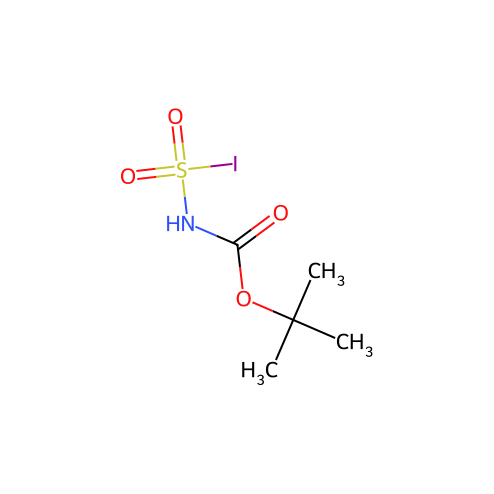 CC(C)(C)OC(=O)NS(=O)(=O)I